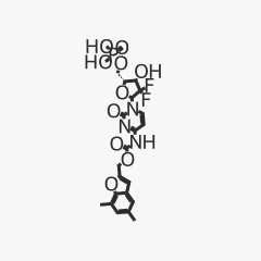 Cc1cc(C)c2oc(COC(=O)Nc3ccn(C4O[C@H](COP(=O)(O)O)[C@@H](O)C4(F)F)c(=O)n3)cc2c1